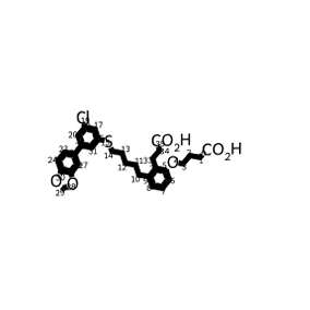 O=C(O)CCCOc1cccc(CCCCCSc2cc(Cl)cc(-c3ccc4c(c3)OCO4)c2)c1CCC(=O)O